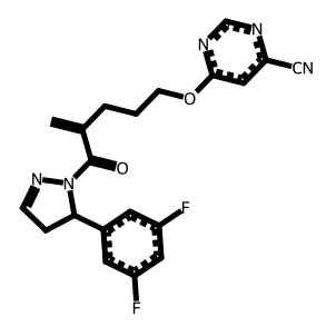 C=C(CCCOc1cc(C#N)ncn1)C(=O)N1N=CCC1c1cc(F)cc(F)c1